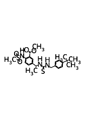 COC(=O)c1cc(C(C)NC(=S)NCc2ccc(C(C)(C)C)cc2)ccc1NS(C)(=O)=O